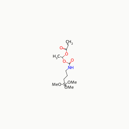 C=CC(=O)OC(C)OC(=O)NCCC[Si](OC)(OC)OC